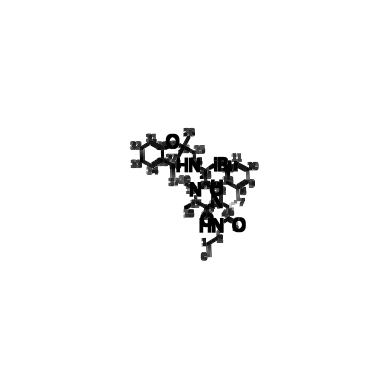 C=CCNC(=O)[C@@H](Cc1ccccc1)NC(=O)[C@@H](C)N(C)C(=O)[C@@H](NCC(C)(C)Oc1ccccc1C=C)C(C)CC